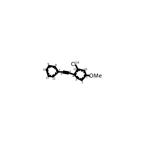 COc1ccc(C#Cc2ccccc2)c(Cl)c1